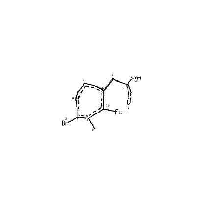 Cc1c(Br)ccc(CC(=O)O)c1F